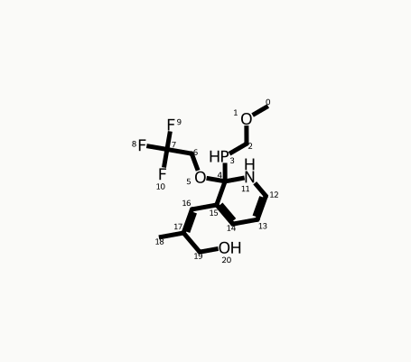 COCPC1(OCC(F)(F)F)NC=CC=C1/C=C(/C)CO